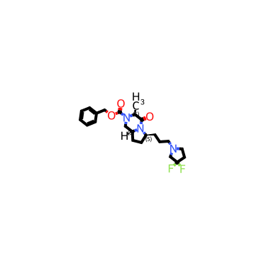 C[C@H]1C(=O)N2[C@@H](CCCN3CCC(F)(F)C3)CC[C@H]2CN1C(=O)OCc1ccccc1